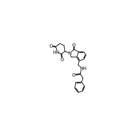 O=C(Cc1ccccc1)NCc1cccc2c1CN(C1CCC(=O)NC1=O)C2=O